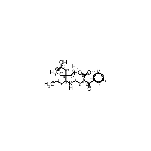 CCCC(NCCN(C(=O)O)C(=O)c1ccccc1)C(CC)(CC)CC(=O)O